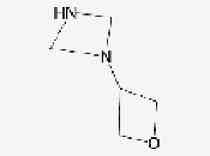 C1OCC1N1CNC1